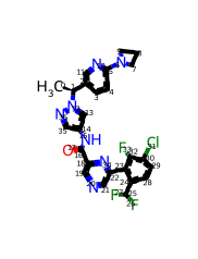 C[C@@H](c1ccc(N2CCC2)nc1)n1cc(NC(=O)c2cncc(-c3c(C(F)F)ccc(Cl)c3F)n2)cn1